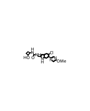 COc1cnc(-c2cc3[nH]c(CNC(=O)NC4CCC4O)cc3cc2Cl)cn1